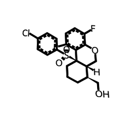 O=S(=O)(c1ccc(Cl)cc1)[C@]12CCC[C@H](CO)[C@H]1COc1c(F)ccc(F)c12